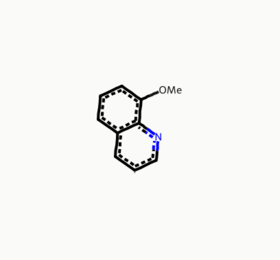 COc1cccc2c[c]cnc12